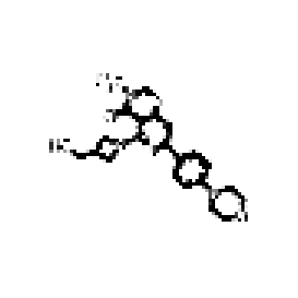 Cn1cnc2cc(-c3ccc(N4CCOCC4)cc3)nc(N3CC(CO)C3)c2c1=O